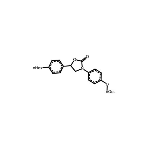 CCCCCCCCOc1ccc(N2CC(c3ccc(CCCCCC)cc3)OC2=O)cc1